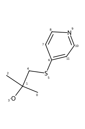 CC(C)([O])CSc1ccncc1